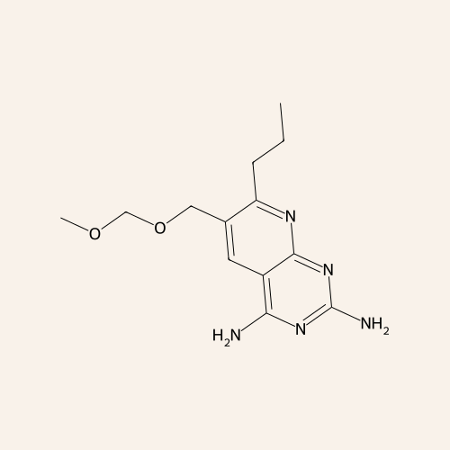 CCCc1nc2nc(N)nc(N)c2cc1COCOC